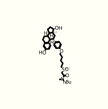 CCCCN(C)C(=O)C[S+]([O-])CCCCCOc1ccc([C@H]2C[C@]3(C)[C@@H](O)CC[C@H]3[C@@H]3CCc4cc(O)ccc4[C@H]32)cc1